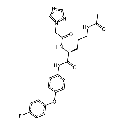 CC(=O)NCCC[C@H](NC(=O)Cn1cncn1)C(=O)Nc1ccc(Oc2ccc(F)cc2)cc1